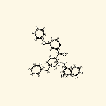 O=C(c1cccc(Oc2ccccc2)c1)N1CCN(Cc2ccccc2)C[C@H]1Cc1c[nH]c2ccccc12